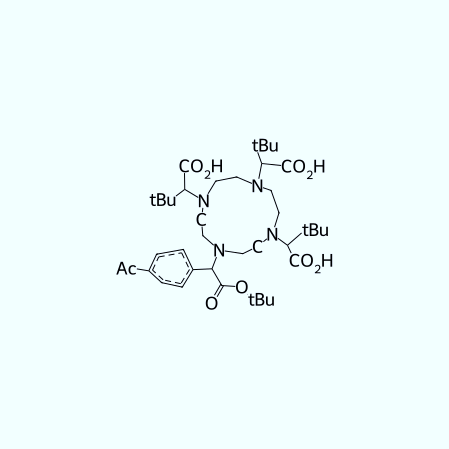 CC(=O)c1ccc(C(C(=O)OC(C)(C)C)N2CCN(C(C(=O)O)C(C)(C)C)CCN(C(C(=O)O)C(C)(C)C)CCN(C(C(=O)O)C(C)(C)C)CC2)cc1